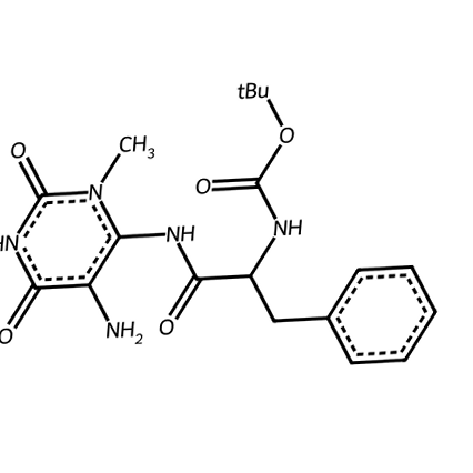 Cn1c(NC(=O)C(Cc2ccccc2)NC(=O)OC(C)(C)C)c(N)c(=O)[nH]c1=O